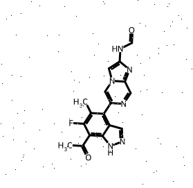 CC(=O)c1c(F)c(C)c(-c2cn3cc(NC=O)nc3cn2)c2cn[nH]c12